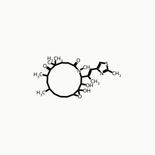 CC(=Cc1csc(C)n1)C1C(O)C2(O)OC2CCCC(C)CC(C)C(=O)C(C)(C)CCC(=O)N1C